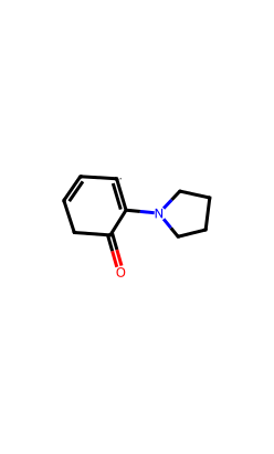 O=C1CC=C[C]=C1N1CCCC1